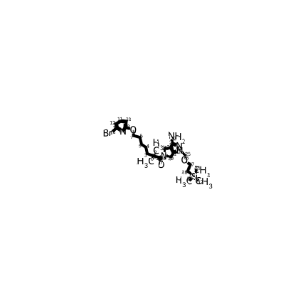 CC(C)(CCCCCOc1cccc(Br)n1)C(=O)N1Cc2c(N)nn(COCC[Si](C)(C)C)c2C1